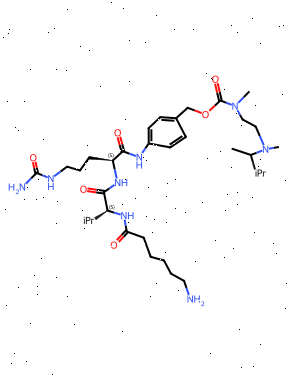 CC(C)C(C)N(C)CCN(C)C(=O)OCc1ccc(NC(=O)[C@H](CCCNC(N)=O)NC(=O)[C@@H](NC(=O)CCCCCN)C(C)C)cc1